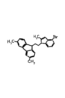 CC1=Cc2c(Br)cccc2C1CCC1c2ccc(C)cc2-c2cc(C)ccc21